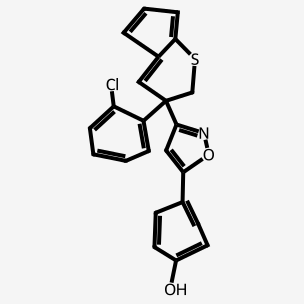 Oc1ccc(-c2cc(C3(c4ccccc4Cl)C=C4C=CC=C4SC3)no2)cc1